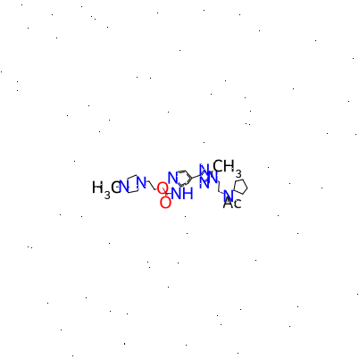 CC(=O)N(CCn1nc(-c2ccnc(NC(=O)OCCN3CCN(C)CC3)c2)nc1C)C1CCCC1